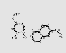 CCCSc1ccc(Oc2ccc3cc(NCC)ccc3n2)c(Cl)c1